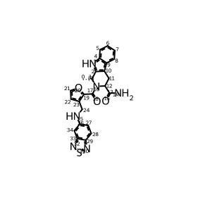 C[C@@H]1c2[nH]c3ccccc3c2CC(C(N)=O)N1C(=O)c1occc1CNc1ccc2nsnc2c1